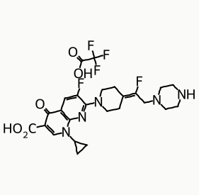 O=C(O)C(F)(F)F.O=C(O)c1cn(C2CC2)c2nc(N3CCC(=C(F)CN4CCNCC4)CC3)c(F)cc2c1=O